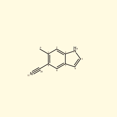 Cc1cc2[nH]ccc2cc1C#N